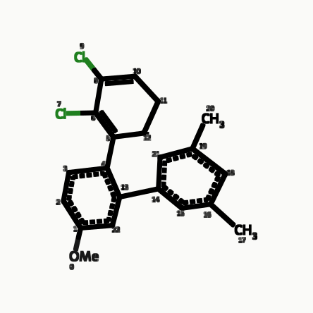 COc1ccc(C2=C(Cl)C(Cl)=CC[CH]2)c(-c2cc(C)cc(C)c2)c1